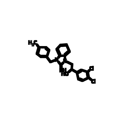 Cc1ccc(Cn2c(=N)n(CC(O)c3ccc(Cl)c(Cl)c3)c3ccccc32)cc1